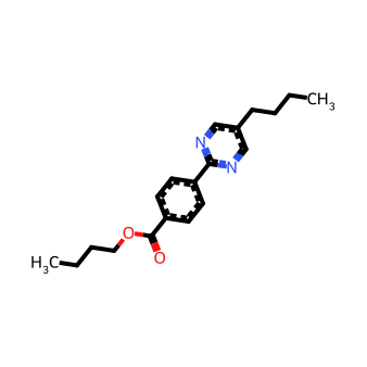 CCCCOC(=O)c1ccc(-c2ncc(CCCC)cn2)cc1